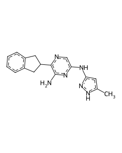 Cc1cc(Nc2cnc(C3Cc4ccccc4C3)c(N)n2)n[nH]1